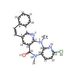 CCN1c2ncc(/C=C\c3ccccc3)cc2C(=O)N(C)c2ccc(Cl)nc21